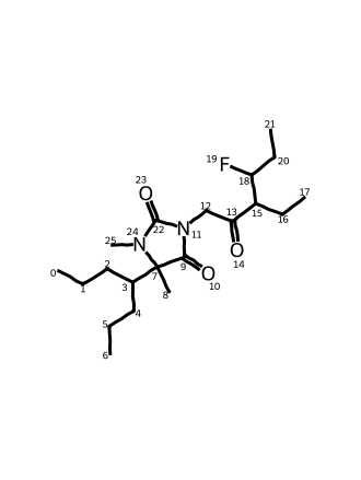 CCCC(CCC)C1(C)C(=O)N(CC(=O)C(CC)C(F)CC)C(=O)N1C